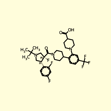 CC(C)(C)N1C[C@@H](c2ccc(F)cc2F)[C@](F)(C(=O)N2CCC(c3ccc(C(F)(F)F)cc3N3CCC(C(=O)O)CC3)CC2)C1